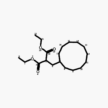 CCOC(=O)C(CC1CCCCCCCCCC1)C(=O)OCC